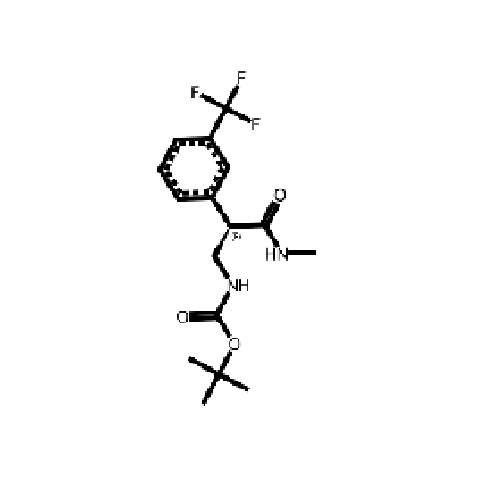 CNC(=O)[C@@H](CNC(=O)OC(C)(C)C)c1cccc(C(F)(F)F)c1